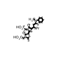 CC(C)C(/C=C1\Sc2ccccc2N1C)=c1\s/c(=C2\SC(=S)N(CC(=O)O)C2=O)n(CC(=O)O)c1=O